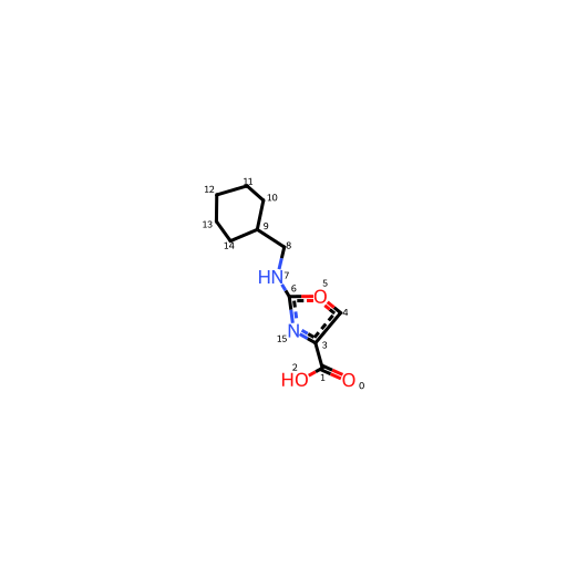 O=C(O)c1coc(NCC2CCCCC2)n1